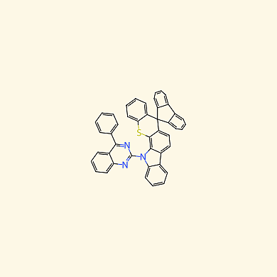 c1ccc(-c2nc(-n3c4ccccc4c4ccc5c(c43)Sc3ccccc3C53c4ccccc4-c4ccccc43)nc3ccccc23)cc1